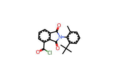 Cc1cccc(C(C)(C)C)c1N1C(=O)c2cccc(C(=O)Cl)c2C1=O